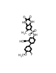 C#Cc1cc(NS(=O)(=O)c2cc3[nH]c(=O)c(=O)[nH]c3cc2C)ccc1-c1ccc(OC)c(F)c1